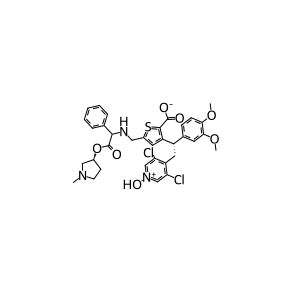 COc1ccc([C@H](Cc2c(Cl)c[n+](O)cc2Cl)c2cc(CNC(C(=O)O[C@H]3CCN(C)C3)c3ccccc3)sc2C(=O)[O-])cc1OC